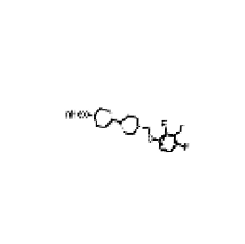 CCCCCC[C@H]1CC[C@H]([C@H]2CC[C@H](COc3ccc(F)c(F)c3F)CC2)CC1